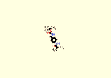 CC(C)C(=O)NC1CCC(CNC(=O)OC(C)(C)C)CC1